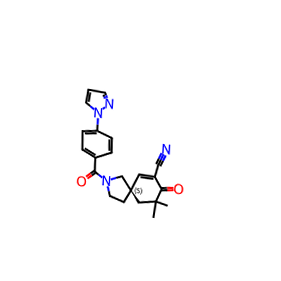 CC1(C)C[C@@]2(C=C(C#N)C1=O)CCN(C(=O)c1ccc(-n3cccn3)cc1)C2